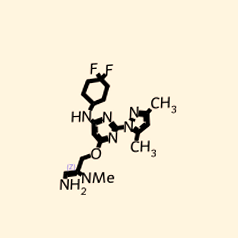 CN/C(=C\N)COc1cc(NC2CCC(F)(F)CC2)nc(-n2nc(C)cc2C)n1